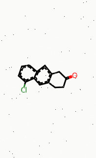 O=C1CCc2cc3c(Cl)cccc3cc2C1